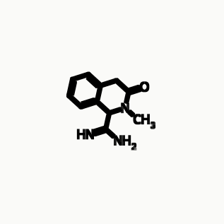 CN1C(=O)Cc2ccccc2C1C(=N)N